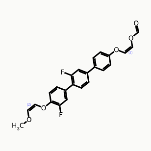 CO/C=C\Oc1ccc(-c2ccc(-c3ccc(O/C=C\OC=O)cc3)cc2F)cc1F